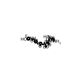 Nc1nc(/C(=N/O)C(=O)N[C@@H]2C(=O)N3C(C(=O)[O-])=C(C=C4CCN(Cc5cc[n+](CC(=O)Nc6ccc(O)c(F)c6)cc5)C4=O)CS[C@H]23)ns1